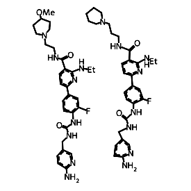 CCNc1nc(-c2ccc(NC(=O)NCc3ccc(N)nc3)c(F)c2)ccc1C(=O)NCCCN1CCCCC1.CCNc1nc(-c2ccc(NC(=O)NCc3ccc(N)nc3)c(F)c2)ccc1C(=O)NCCN1CCC(OC)CC1